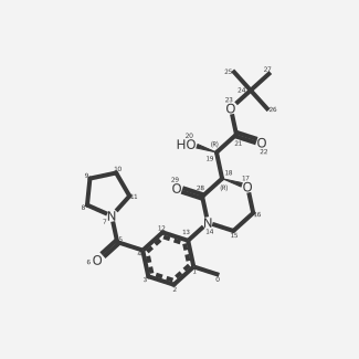 Cc1ccc(C(=O)N2CCCC2)cc1N1CCO[C@H]([C@@H](O)C(=O)OC(C)(C)C)C1=O